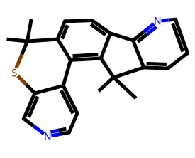 CC1(C)Sc2cnccc2-c2c1ccc1c2C(C)(C)c2cccnc2-1